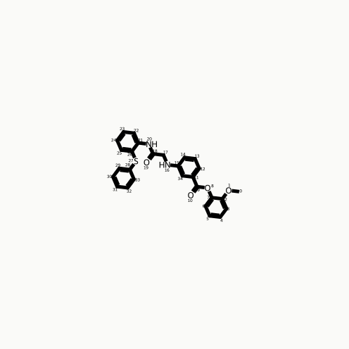 COc1ccccc1OC(=O)c1cccc(NCC(=O)Nc2ccccc2Sc2ccccc2)c1